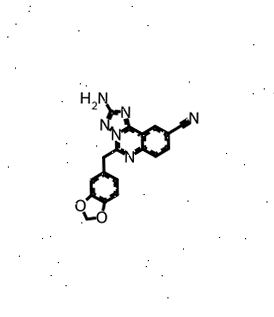 N#Cc1ccc2nc(Cc3ccc4c(c3)OCO4)n3nc(N)nc3c2c1